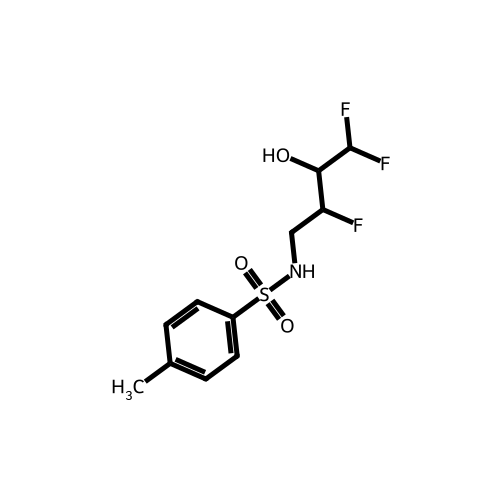 Cc1ccc(S(=O)(=O)NCC(F)C(O)C(F)F)cc1